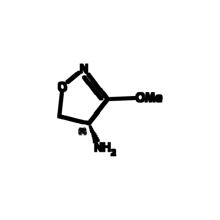 COC1=NOC[C@H]1N